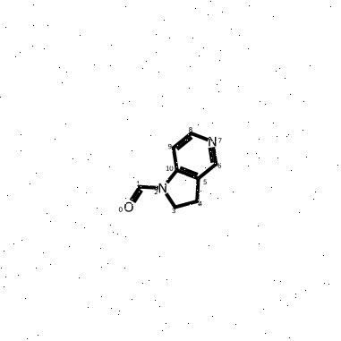 O=CN1CCc2cnccc21